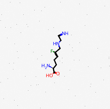 N=CCNC/C(F)=C/CC[C@H](N)C(=O)O